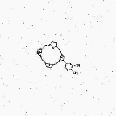 Oc1ccc(-c2cc3cc4nc(cc5ccc(cc6nc(cc2[nH]3)C=C6)[nH]5)C=C4)cc1O